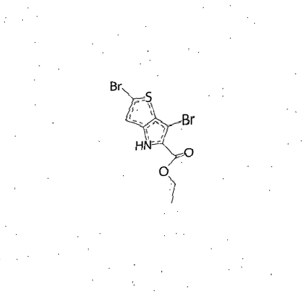 CCOC(=O)c1[nH]c2cc(Br)sc2c1Br